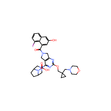 O=C(c1cc(O)cc2cccc(I)c12)N1Cc2nc(OCC3(CN4CCOCC4)CC3)nc(N3CC4CCC(C3)N4C(=O)O)c2C1